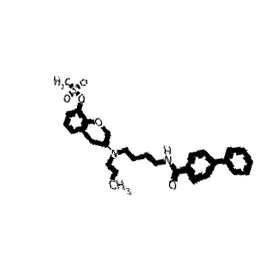 CCCN(CCCCNC(=O)c1ccc(-c2ccccc2)cc1)[C@H]1COc2c(cccc2OS(C)(=O)=O)C1